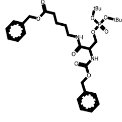 CC(C)(C)OP(=O)(OCC(NC(=O)OCc1ccccc1)C(=O)NCCCCC(=O)OCc1ccccc1)OC(C)(C)C